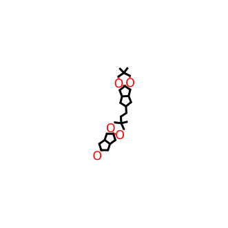 CC1(C)COC2(CC3CC(CCC4(C)COC5(CC6CC(=O)CC6C5)OC4)CC3C2)OC1